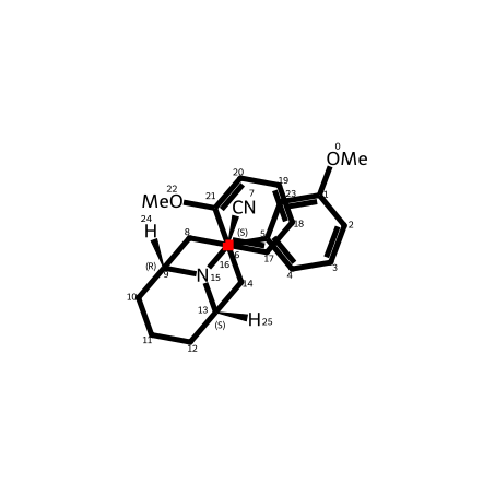 COc1cccc([C@@]2(C#N)C[C@H]3CCC[C@@H](C2)N3c2ccccc2OC)c1